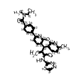 C=C(C(=O)Nc1nncs1)C1c2ccc(C)nc2Oc2nc(-c3ccc(C(=O)N(C)CC)cc3)ccc21